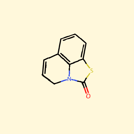 O=c1sc2cccc3c2n1CC=C3